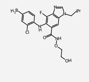 Bc1ccc(Nc2c(C(=O)NOCCO)cc3c(ncn3CC(C)C)c2F)c(Cl)c1